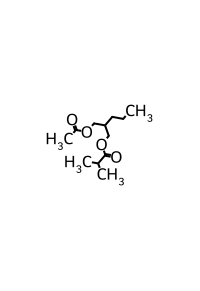 CCCC(COC(C)=O)COC(=O)C(C)C